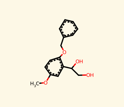 COc1ccc(OCc2ccccc2)c(C(O)CO)c1